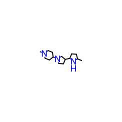 CC1CCC(C2CCN(C3CCN(C)CC3)C2)N1